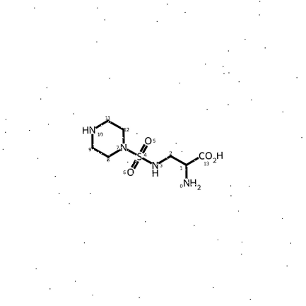 NC(CNS(=O)(=O)N1CCNCC1)C(=O)O